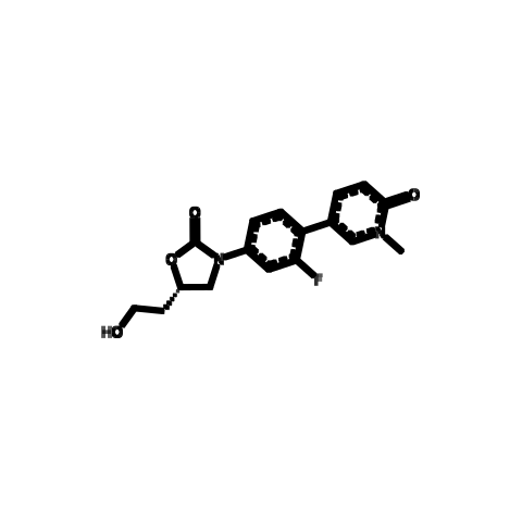 Cn1cc(-c2ccc(N3C[C@H](CCO)OC3=O)cc2F)ccc1=O